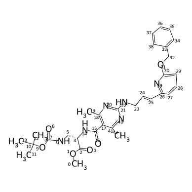 COC(=O)[C@H](CNC(=O)OC(C)(C)C)NC(=O)c1c(C)nc(NC/C=C/c2cccc(OCc3ccccc3)n2)nc1C